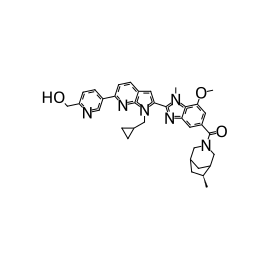 COc1cc(C(=O)N2CC3CC(C2)[C@@H](C)C3)cc2nc(-c3cc4ccc(-c5ccc(CO)nc5)nc4n3CC3CC3)n(C)c12